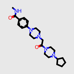 CNC(=O)c1ccc(N2CCN(CC(=O)N3CCN(C4CCCC4)CC3)CC2)cc1